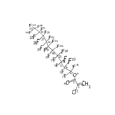 C=C(Cl)C(=O)OC(F)(F)C(F)(F)C(F)(F)C(F)(F)C(F)(F)C(F)(F)C(F)(F)C(F)(F)C(F)(F)C(F)(F)F